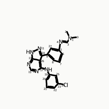 CN(C)C=Nc1cccc(-c2n[nH]c3ncnc(Nc4cccc(Cl)c4)c23)c1